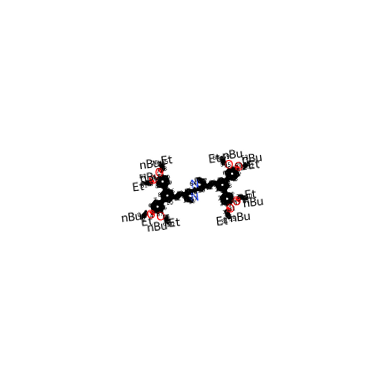 CCCCC(CC)COc1ccc(-c2cc(/C=C/c3ccnc(-c4cc(/C=C/c5cc(-c6ccc(OCC(CC)CCCC)c(OCC(CC)CCCC)c6)cc(-c6ccc(OCC(CC)CCCC)c(OCC(CC)CCCC)c6)c5)ccn4)c3)cc(-c3ccc(OCC(CC)CCCC)c(OCC(CC)CCCC)c3)c2)cc1OCC(CC)CCCC